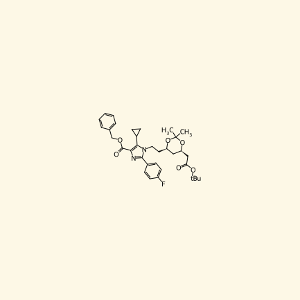 CC(C)(C)OC(=O)C[C@H]1C[C@@H](CCn2c(-c3ccc(F)cc3)nc(C(=O)OCc3ccccc3)c2C2CC2)OC(C)(C)O1